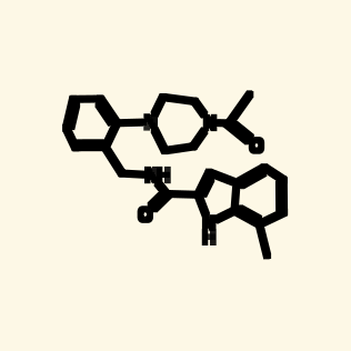 CC(=O)N1CCN(c2ccccc2CNC(=O)c2cc3cccc(C)c3[nH]2)CC1